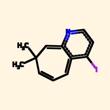 CC1(C)C=CC=c2c(I)ccnc2=C1